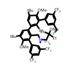 CCc1c(-c2cc(C(C)(C)C)c(OC)c(-c3cc(C(F)(F)F)cc(C(F)(F)F)c3)c2CN(C)[C@@H](C)C(CC)(CC)OC)cc(C(C)(C)C)c(OC)c1-c1cc(CF)cc(C(F)(F)F)c1